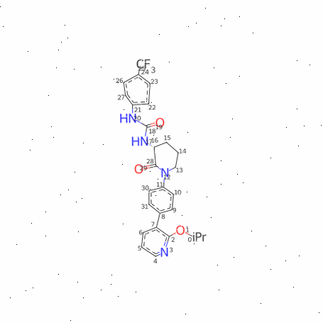 CC(C)Oc1ncccc1-c1ccc(N2CCC[C@@H](NC(=O)Nc3ccc(C(F)(F)F)cc3)C2=O)cc1